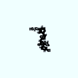 Cc1c(C(=O)O)cccc1-c1ccc(/C=C2\NC(=O)N(c3cccc(Cl)c3)C2=O)o1